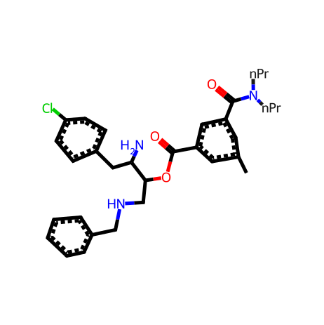 CCCN(CCC)C(=O)c1cc(C)cc(C(=O)OC(CNCc2ccccc2)C(N)Cc2ccc(Cl)cc2)c1